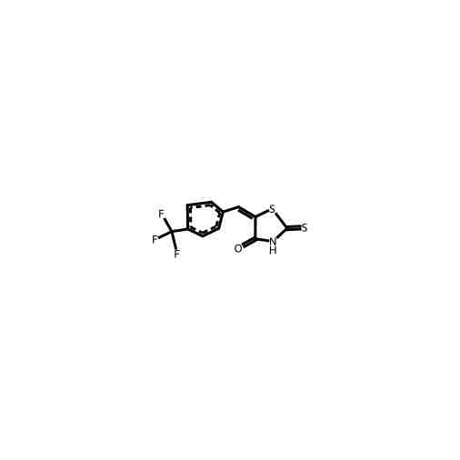 O=C1NC(=S)SC1=Cc1ccc(C(F)(F)F)cc1